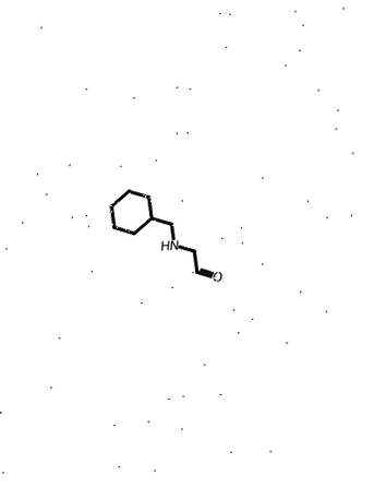 O=[C]CNCC1CCCCC1